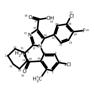 Cc1cc(Cl)cc(-n2c(C3CCCCC3)nc(C(=O)O)c2-c2ccc(F)c(Cl)c2)c1C(N)=O